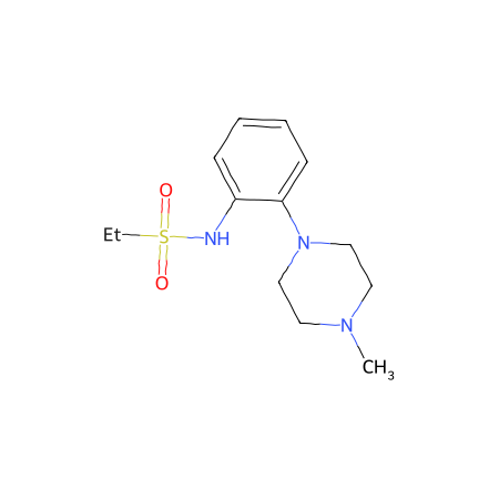 CCS(=O)(=O)Nc1ccccc1N1CCN(C)CC1